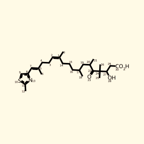 C/C(=C/CC/C(C)=C/c1csc(C)n1)CCCC(C)CC(C)C(=O)C(C)(C)C(O)CC(=O)O